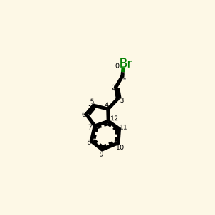 BrC/C=C/C1[C]=Cc2ccccc21